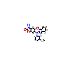 N#Cc1cccnc1C[C@@H]1c2ccccc2C(=O)N1Cc1ccc2[nH]c(=O)oc2c1